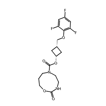 O=C1NCCN(C(=O)O[C@H]2C[C@@H](COc3c(F)cc(F)cc3F)C2)CCCO1